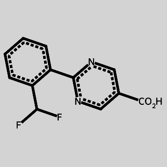 O=C(O)c1cnc(-c2ccccc2C(F)F)nc1